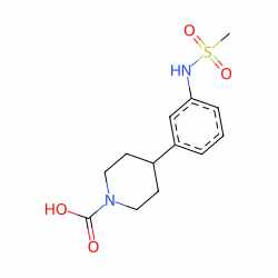 CS(=O)(=O)Nc1cccc(C2CCN(C(=O)O)CC2)c1